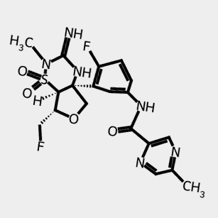 Cc1cnc(C(=O)Nc2ccc(F)c([C@]34CO[C@H](CF)[C@H]3S(=O)(=O)N(C)C(=N)N4)c2)cn1